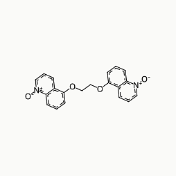 [O-][n+]1cccc2c(OCCOc3cccc4c3ccc[n+]4[O-])cccc21